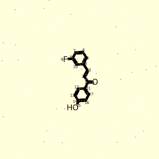 O=C(C=Cc1cccc(F)c1)c1ccc(O)cc1